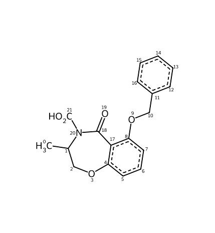 CC1COc2cccc(OCc3ccccc3)c2C(=O)N1C(=O)O